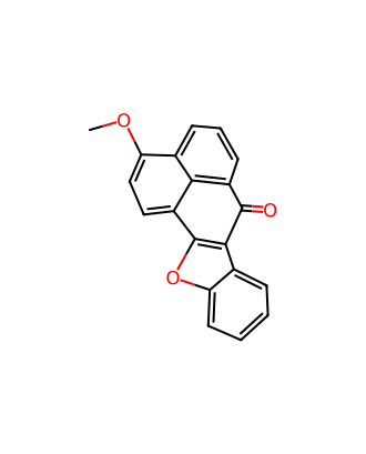 COc1ccc2c3c(cccc13)C(=O)c1c-2oc2ccccc12